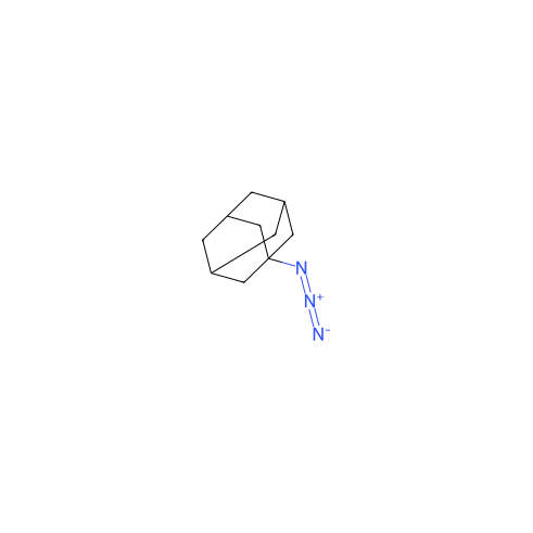 [N-]=[N+]=NC12CC3CC(CC(C3)C1)C2